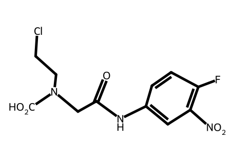 O=C(CN(CCCl)C(=O)O)Nc1ccc(F)c([N+](=O)[O-])c1